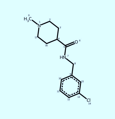 CN1CCC(C(=O)NCc2cccc(Cl)c2)CC1